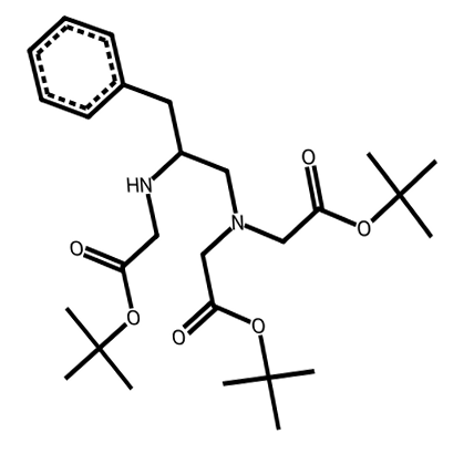 CC(C)(C)OC(=O)CNC(Cc1ccccc1)CN(CC(=O)OC(C)(C)C)CC(=O)OC(C)(C)C